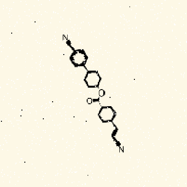 N#CC=C[C@H]1CC[C@H](C(=O)O[C@H]2CC[C@H](c3ccc(C#N)cc3)CC2)CC1